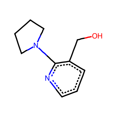 OCc1cccnc1N1CCCC1